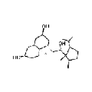 CC(C)[C@H]1CC[C@@H](C)[C@]1(C)C(O)C[C@H]1C[C@H](O)CC2C[C@H](O)CC[C@@]21C